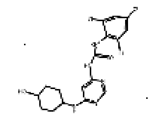 O=C(Nc1cc(NC2CCC(O)CC2)ncn1)Nc1c(Cl)cc(Cl)cc1Cl